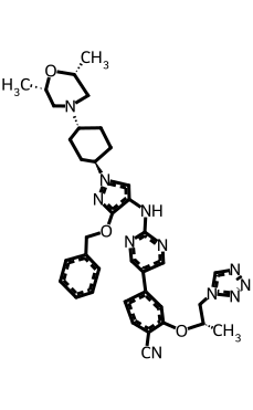 C[C@@H]1CN([C@H]2CC[C@H](n3cc(Nc4ncc(-c5ccc(C#N)c(O[C@@H](C)Cn6cnnn6)c5)cn4)c(OCc4ccccc4)n3)CC2)C[C@H](C)O1